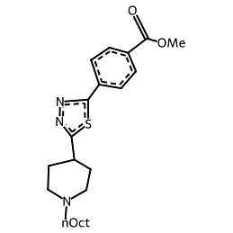 CCCCCCCCN1CCC(c2nnc(-c3ccc(C(=O)OC)cc3)s2)CC1